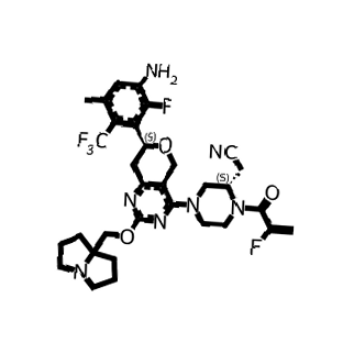 C=C(F)C(=O)N1CCN(c2nc(OCC34CCCN3CCC4)nc3c2CO[C@H](c2c(F)c(N)cc(C)c2C(F)(F)F)C3)C[C@@H]1CC#N